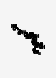 COCCNC(=O)[C@H](CCC(=O)O)NC(=O)CC[C@H](NC(=O)[C@H]1CC[C@H](CNC(=O)CCCC(=O)O)CC1)C(=O)O